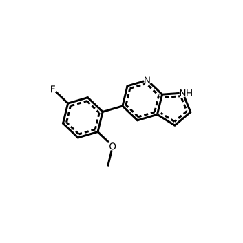 COc1ccc(F)cc1-c1cnc2[nH]ccc2c1